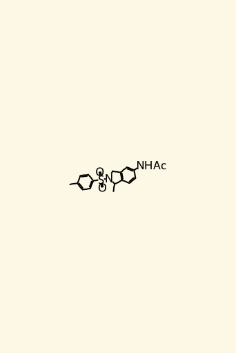 CC(=O)Nc1ccc2c(c1)CN(S(=O)(=O)c1ccc(C)cc1)C2C